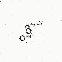 CC(OCC[Si](C)(C)C)n1ccc2cc(Nc3ccncc3)c(Cl)nc21